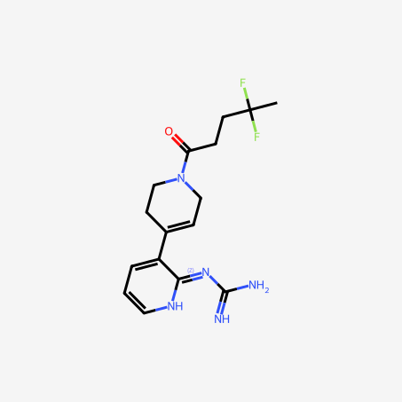 CC(F)(F)CCC(=O)N1CC=C(c2ccc[nH]/c2=N\C(=N)N)CC1